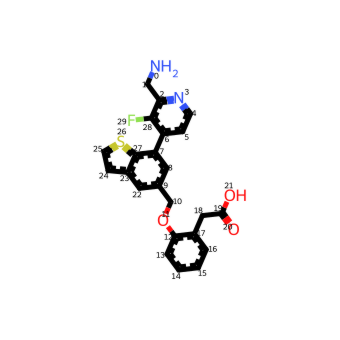 NCc1nccc(-c2cc(COc3ccccc3CC(=O)O)cc3ccsc23)c1F